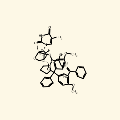 COc1ccc(C(OC[C@@]23CO[C@@H]([C@H](n4cc(C)c(=O)[nH]c4=O)O2)[C@@H]3OP(C(S)C[SH]=C(O)c2ccccc2)N2CCCC2)(c2ccccc2)c2ccc(OC)cc2)cc1